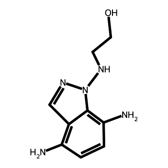 Nc1ccc(N)c2c1cnn2NCCO